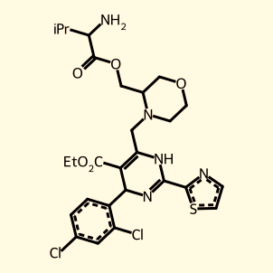 CCOC(=O)C1=C(CN2CCOCC2COC(=O)C(N)C(C)C)NC(c2nccs2)=NC1c1ccc(Cl)cc1Cl